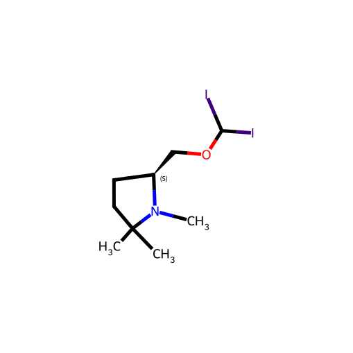 CN1[C@H](COC(I)I)CCC1(C)C